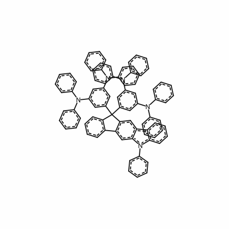 c1ccc(N(c2ccccc2)c2cc(N(c3ccccc3)c3ccccc3)cc(C3(c4cc(N(c5ccccc5)c5ccccc5)cc(N(c5ccccc5)c5ccccc5)c4)c4ccccc4-c4cc5c(cc43)c3ccccc3n5-c3ccccc3)c2)cc1